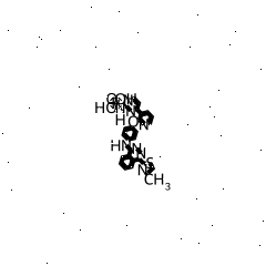 CC1CSC(c2nnc(Nc3ccc(Oc4ncccc4-c4ccnc(NP(=O)(O)O)n4)cc3)c3ccccc23)=N1